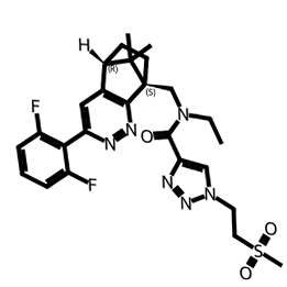 CCN(C[C@@]12CC[C@@H](c3cc(-c4c(F)cccc4F)nnc31)C2(C)C)C(=O)c1cn(CCS(C)(=O)=O)nn1